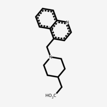 O=C(O)CC1CCN(Cc2ccnc3ccccc23)CC1